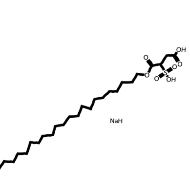 CCCCCCCCCCCCCCCCCCCCCCOC(=O)C(CC(=O)O)S(=O)(=O)O.[NaH]